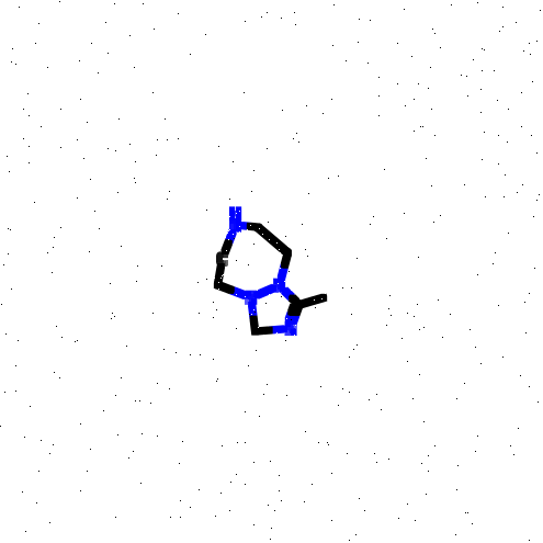 CC1=NCN2CCNCCN12